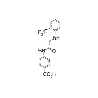 O=C(CNc1ccccc1C(F)(F)F)Nc1ccc(C(=O)O)cc1